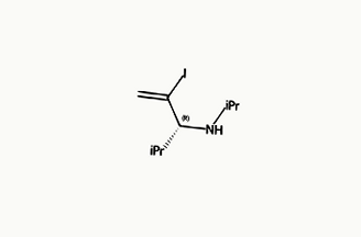 C=C(I)[C@H](NC(C)C)C(C)C